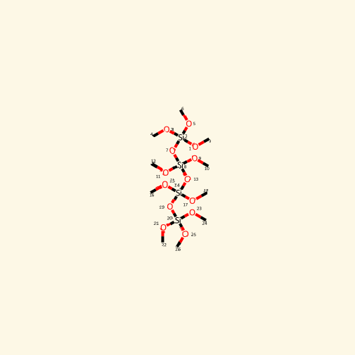 CO[Si](OC)(OC)O[Si](OC)(OC)O[Si](OC)(OC)O[Si](OC)(OC)OC